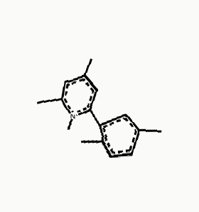 Cc1ccc(C)c(-c2cc(C)cc(C)[n+]2C)c1